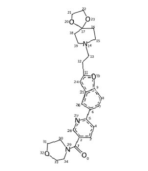 O=C(c1ccc(-c2ccc3oc(CCN4CCC5(CC4)OCCO5)cc3c2)nc1)N1CCOCC1